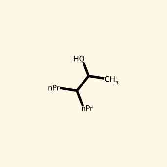 CCCC(CCC)C(C)O